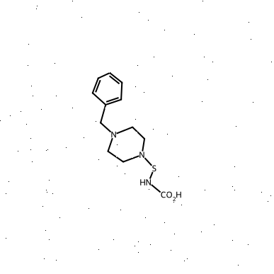 O=C(O)NSN1CCN(Cc2ccccc2)CC1